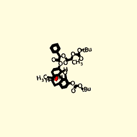 C[C@H](OC(=O)OC(C)(C)C)C(=O)O[C@H](C(=O)OC1=CC[C@@]2(O)[C@H]3Cc4ccc(OC(=O)OC(C)(C)C)c5c4[C@@]2(CCN3C)[C@H]1O5)c1ccccc1